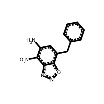 Nc1cc(Cc2ccccc2)c2onnc2c1[N+](=O)[O-]